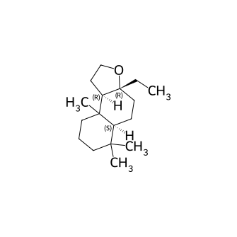 CC[C@@]12CC[C@H]3C(C)(C)CCCC3(C)[C@H]1CCO2